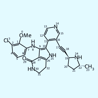 COc1c(Cl)cccc1Nc1c(-c2ccncc2C#C[C@@H]2CC[C@@H](C)N2)[nH]c2c1C(=O)NCC2